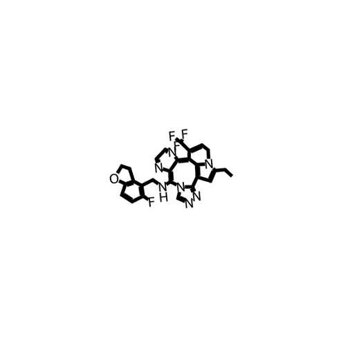 CCc1cc2c3n1CC=C(C(F)(F)F)C3=c1nccnc1=C(NCc1c(F)ccc3c1CCO3)n1cnnc1-2